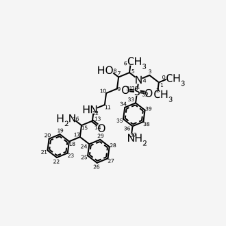 CC(C)CN(C(C)C(O)CCCNC(=O)C(N)C(c1ccccc1)c1ccccc1)S(=O)(=O)c1ccc(N)cc1